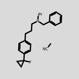 CC#N.CC(C)N(CCCc1ccc(C2(F)CC2)cc1)Cc1ccccc1